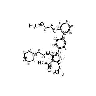 CCc1nn(-c2ccc(-c3ccccc3OCCOC)cc2)c(OCCN2CCOCC2)c1C(=O)O